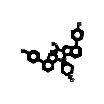 CCc1ccc(-c2cccc3c2C=C(CC(C)C)[CH]3[Hf+2]2([CH]3C(CC(C)C)=Cc4c(-c5ccc(CC)cc5)cccc43)[CH]3CCCC[CH]32)cc1.[Cl-].[Cl-]